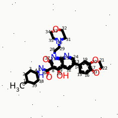 CC1CCC(NC(=O)c2c(O)c3cc(-c4ccc5c(c4)OCCO5)cnc3n(CCN3CCOCC3)c2=O)CC1